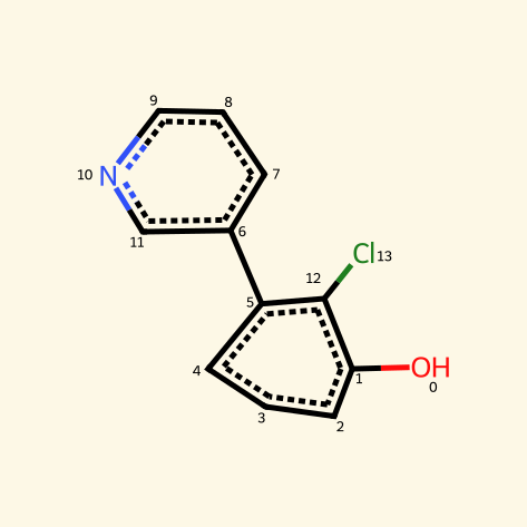 Oc1cccc(-c2cccnc2)c1Cl